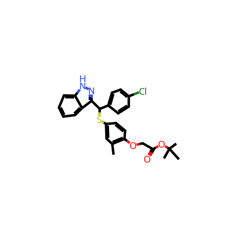 Cc1cc(SC(c2ccc(Cl)cc2)c2n[nH]c3ccccc23)ccc1OCC(=O)OC(C)(C)C